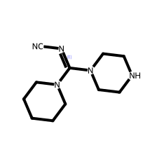 N#C/N=C(\N1CCCCC1)N1CCNCC1